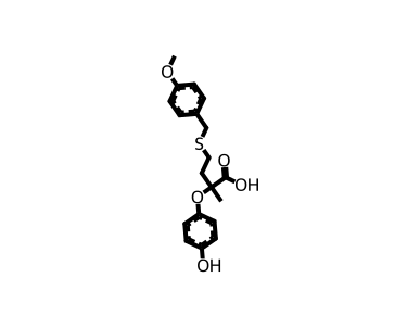 COc1ccc(CSCCC(C)(Oc2ccc(O)cc2)C(=O)O)cc1